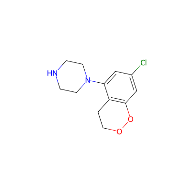 Clc1cc2c(c(N3CCNCC3)c1)CCOO2